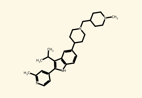 Cc1cc(-c2[nH]c3ccc(C4CCN(CC5CCN(C)CC5)CC4)cc3c2C(C)C)ccn1